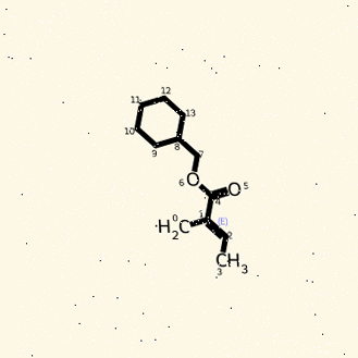 [CH2]/C(=C\C)C(=O)OCC1CCCCC1